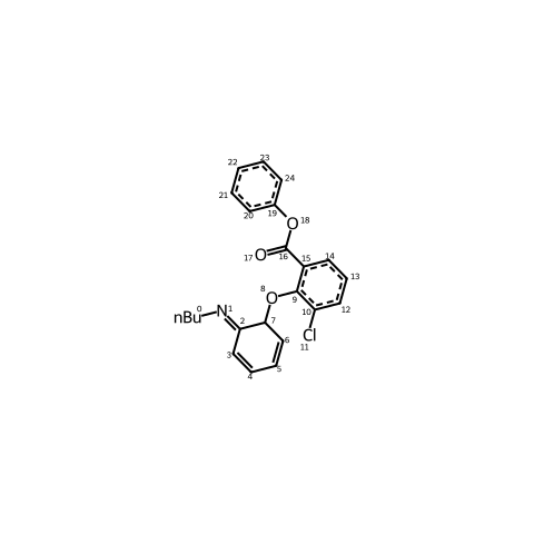 CCCCN=C1C=CC=CC1Oc1c(Cl)cccc1C(=O)Oc1ccccc1